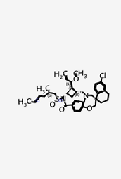 C=C[C@H](OC)[C@@H]1CC[C@H]1CN1C[C@@]2(CCCc3cc(Cl)ccc32)COc2ccc(C(=O)/N=[SH](=O)/C[C@@H](C)C/C=C/C)cc21